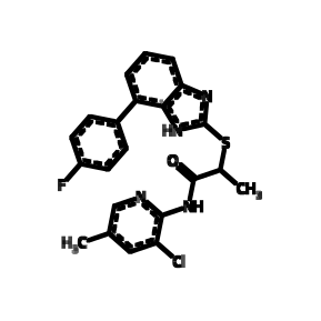 Cc1cnc(NC(=O)C(C)Sc2nc3cccc(-c4ccc(F)cc4)c3[nH]2)c(Cl)c1